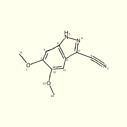 COc1cc2[nH]nc(C#N)c2cc1OC